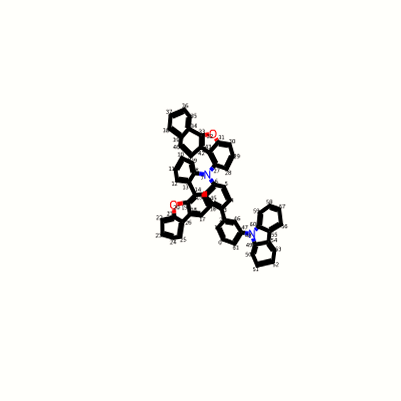 c1cc(-c2ccc(N(c3ccccc3-c3cccc4c3oc3ccccc34)c3cccc4oc5c6ccccc6ccc5c34)cc2)cc(-n2c3ccccc3c3ccccc32)c1